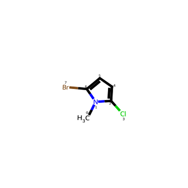 Cn1c(Cl)ccc1Br